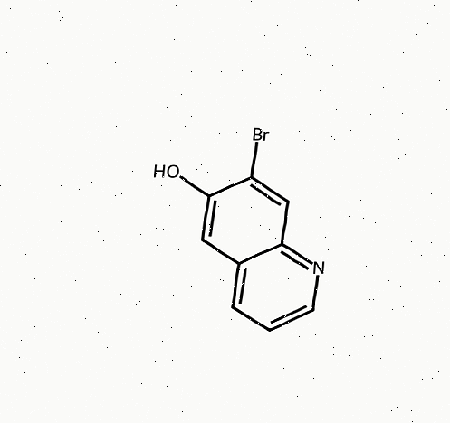 Oc1cc2cccnc2cc1Br